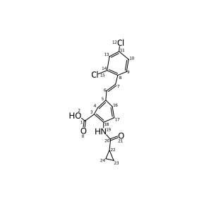 O=C(O)c1cc(/C=C/c2ccc(Cl)cc2Cl)ccc1NC(=O)C1CC1